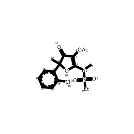 CCS(=O)(=O)N(C)C1=C(OC(C)=O)C(=O)C(C)(c2ccccc2Cl)O1